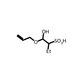 C=CCOC(O)C(CC)S(=O)(=O)O